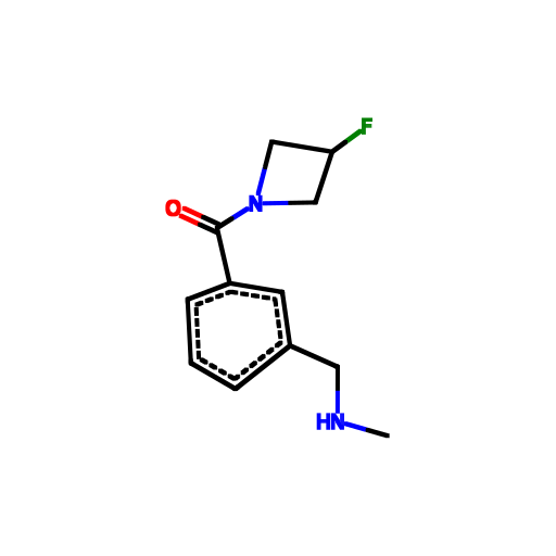 CNCc1cccc(C(=O)N2CC(F)C2)c1